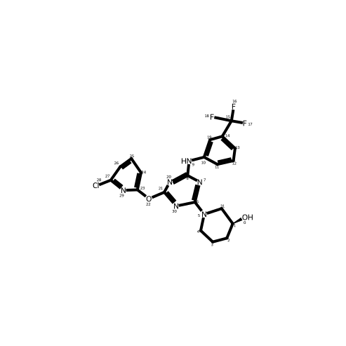 O[C@H]1CCCN(c2nc(Nc3cccc(C(F)(F)F)c3)nc(Oc3cccc(Cl)n3)n2)C1